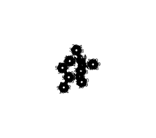 c1ccc(-c2cc(-c3ccccc3)cc(-n3c4ccccc4c4cc5c(cc43)c3c(nc(-c4ccccc4)n3-c3ccccc3)n5-c3ccccc3)c2)cc1